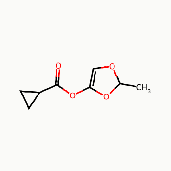 CC1OC=C(OC(=O)C2CC2)O1